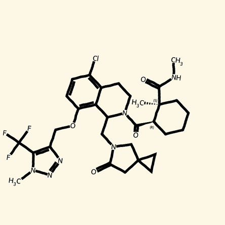 CNC(=O)[C@@]1(C)CCCC[C@H]1C(=O)N1CCc2c(Cl)ccc(OCc3nnn(C)c3C(F)(F)F)c2C1CN1CC2(CC2)CC1=O